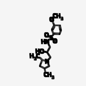 COc1cccc(S(=O)(=O)NC[C@H](O)CN2CC(C)CC2C)c1